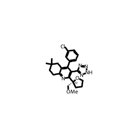 COC[C@@]1(c2nc3c(c(-c4cccc(Cl)c4)c2-c2nn[nH]n2)CC(C)(C)CC3)CCCO1